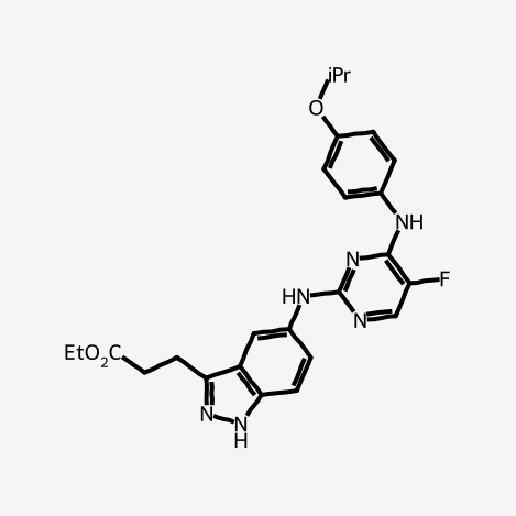 CCOC(=O)CCc1n[nH]c2ccc(Nc3ncc(F)c(Nc4ccc(OC(C)C)cc4)n3)cc12